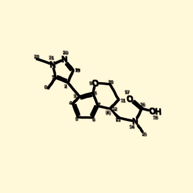 Cc1c(-c2cccc3c2OCC[C@H]3CN(C)C(=O)O)cnn1C